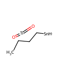 CCC[CH2][SnH].[O]=[Ti]=[O]